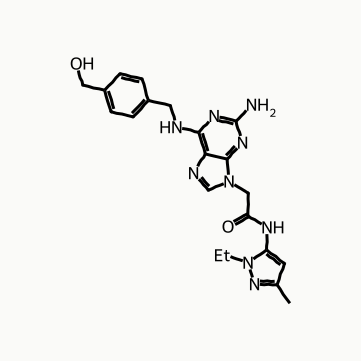 CCn1nc(C)cc1NC(=O)Cn1cnc2c(NCc3ccc(CO)cc3)nc(N)nc21